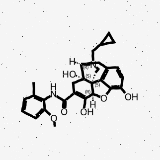 COc1cccc(C)c1NC(=O)C1=C(O)[C@@H]2Oc3c(O)ccc4c3[C@@]23CCN(CC2CC2)[C@H](C4)[C@]3(O)C1